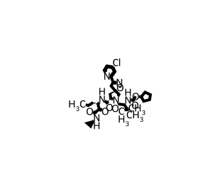 CCC[C@H](NC(=O)[C@@H]1C[C@]2(CC(c3cc(Cl)ccn3)=NO2)CN1C(=O)[C@@H](NC(=O)OC1CCCC1)C(C)(C)C)C(=O)C(=O)NC1CC1